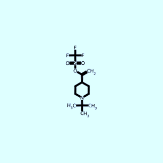 C=C(OS(=O)(=O)C(F)(F)F)C1CCN(C(C)(C)C)CC1